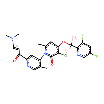 BC(B)(Oc1cc(C)n(-c2cc(C(=O)/C=C/N(C)C)ncc2C)c(=O)c1Cl)c1ncc(F)cc1F